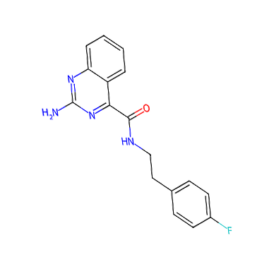 Nc1nc(C(=O)NCCc2ccc(F)cc2)c2ccccc2n1